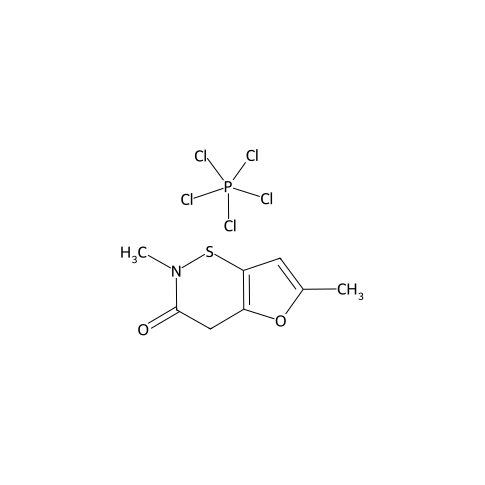 Cc1cc2c(o1)CC(=O)N(C)S2.ClP(Cl)(Cl)(Cl)Cl